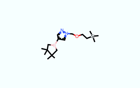 CC1(C)CB(c2cnn(COCC[Si](C)(C)C)c2)CC1(C)C